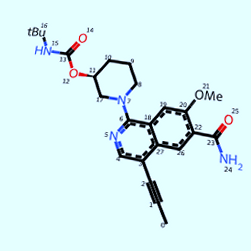 CC#Cc1cnc(N2CCC[C@H](OC(=O)NC(C)(C)C)C2)c2cc(OC)c(C(N)=O)cc12